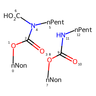 CCCCCCCCCOC(=O)N(CCCCC)C(=O)O.CCCCCCCCCOC(=O)NCCCCC